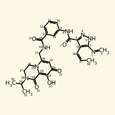 C=Nc1[nH]nc(C(=O)Nc2cccc(C(=O)NCc3cc(=O)c(O)c4n3CCN(C(C)C)C4=O)c2)c1/C=C\C